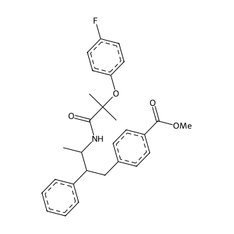 COC(=O)c1ccc(CC(c2ccccc2)C(C)NC(=O)C(C)(C)Oc2ccc(F)cc2)cc1